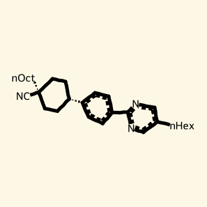 CCCCCCCC[C@]1(C#N)CC[C@H](c2ccc(-c3ncc(CCCCCC)cn3)cc2)CC1